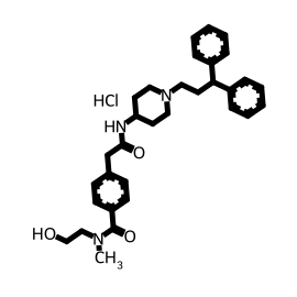 CN(CCO)C(=O)c1ccc(CC(=O)NC2CCN(CCC(c3ccccc3)c3ccccc3)CC2)cc1.Cl